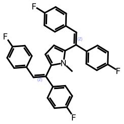 Cn1c(/C(=C\c2ccc(F)cc2)c2ccc(F)cc2)ccc1/C(=C\c1ccc(F)cc1)c1ccc(F)cc1